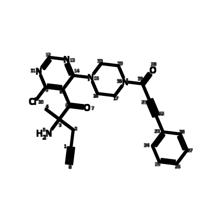 C#CCC(C)(N)C(=O)c1c(Cl)ncnc1N1CCN(C(=O)C#Cc2ccccc2)CC1